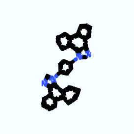 c1ccc2c(c1)c1ccccc1c1c2ncn1-c1ccc(-n2cnc3c4ccccc4c4ccccc4c32)cc1